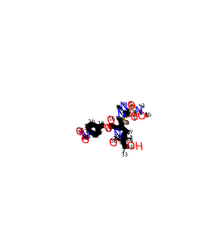 CON(C)S(=O)(=O)c1ncn2cc(C3=C(C(=O)OCc4ccc([N+](=O)[O-])cc4)N4C(=O)[C@H]([C@@H](C)O)[C@H]4[C@H]3C)sc12